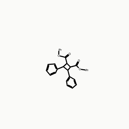 CC(C)OC(=O)C1C(C(=O)OC(C)C)C(c2ccccc2)C1c1ccccc1